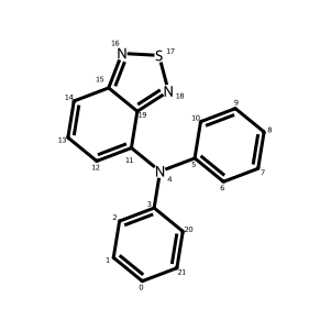 c1ccc(N(c2ccccc2)c2cccc3nsnc23)cc1